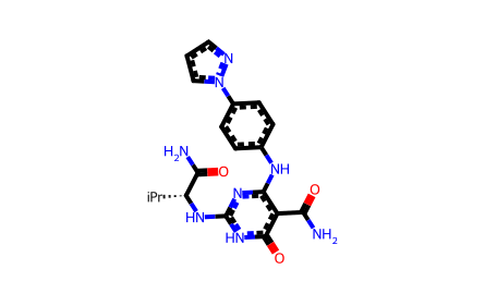 CC(C)[C@@H](Nc1nc(Nc2ccc(-n3cccn3)cc2)c(C(N)=O)c(=O)[nH]1)C(N)=O